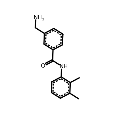 Cc1cccc(NC(=O)c2cccc(CN)c2)c1C